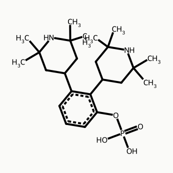 CC1(C)CC(c2cccc(OP(=O)(O)O)c2C2CC(C)(C)NC(C)(C)C2)CC(C)(C)N1